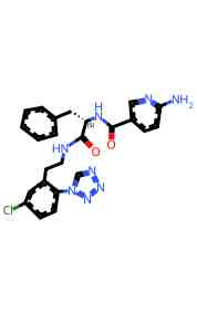 Nc1ccc(C(=O)N[C@@H](Cc2ccccc2)C(=O)NCCc2cc(Cl)ccc2-n2cnnn2)cn1